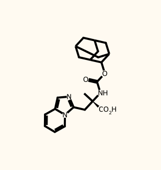 C[C@@](Cc1ncc2ccccn12)(NC(=O)OC1C2CC3CC(C2)CC1C3)C(=O)O